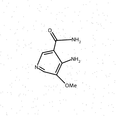 COc1cncc(C(N)=O)c1N